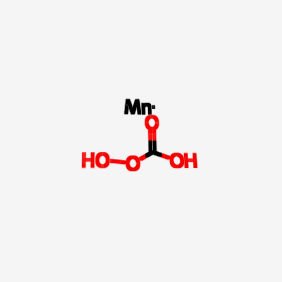 O=C(O)OO.[Mn]